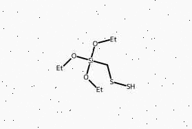 CCO[Si](CSS)(OCC)OCC